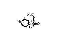 C1CNCCN1.CCOC(C)=O